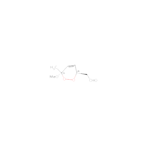 CO[C@]1(C)C=C[C@@H](CC=O)OO1